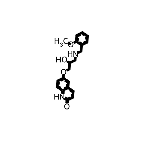 COc1ccccc1CNCC(O)COc1ccc2[nH]c(=O)ccc2c1